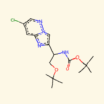 CC(C)(C)OCC(NC(=O)OC(C)(C)C)c1cn2ncc(Cl)cc2n1